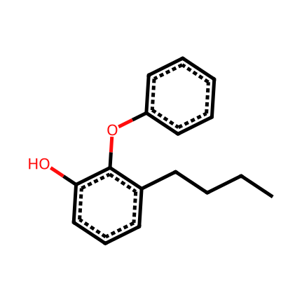 CCCCc1cccc(O)c1Oc1ccccc1